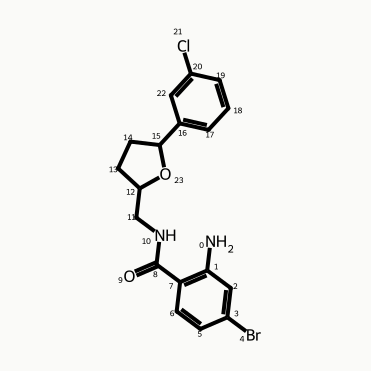 Nc1cc(Br)ccc1C(=O)NCC1CCC(c2cccc(Cl)c2)O1